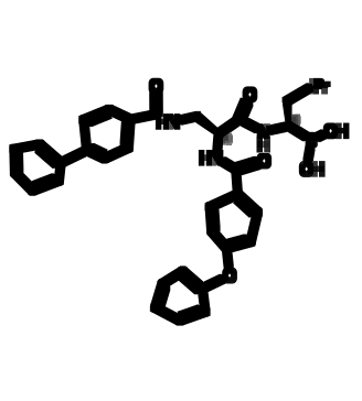 CC(C)C[C@H](NC(=O)[C@H](CNC(=O)c1ccc(-c2ccccc2)cc1)NC(=O)c1ccc(Oc2ccccc2)cc1)B(O)O